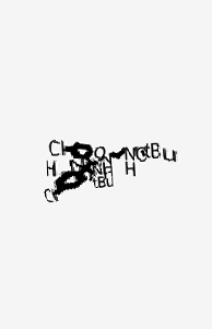 CC(C)(C)C[C@@H]1N[C@@H](C(=O)NCCCNCOC(C)(C)C)[C@H](c2cccc(Cl)c2)[C@@]1(N)c1ccc(Cl)cc1